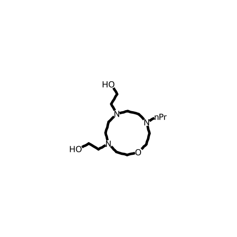 CCCN1CCOCCN(CCO)CCN(CCO)CC1